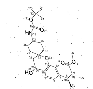 COC(=O)[C@H](C)[C@H](c1ccc2c(c1)OC1(CCC(NC(=O)OC(C)(C)C)CC1)C[C@H]2O)C1CC1